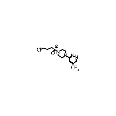 O=S(=O)(CCCCl)N1CCN(c2cc(C(F)(F)F)cnn2)CC1